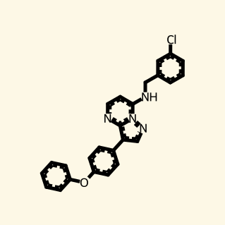 Clc1cccc(CNc2ccnc3c(-c4ccc(Oc5ccccc5)cc4)cnn23)c1